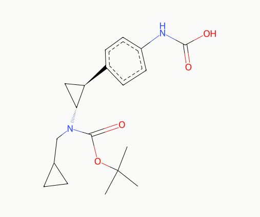 CC(C)(C)OC(=O)N(CC1CC1)[C@@H]1C[C@H]1c1ccc(NC(=O)O)cc1